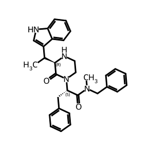 CC(c1c[nH]c2ccccc12)[C@H]1NCCN([C@@H](Cc2ccccc2)C(=O)N(C)Cc2ccccc2)C1=O